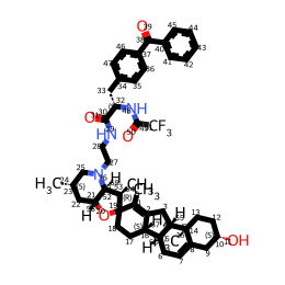 CC1=C2C[C@H]3[C@@H](CC=C4C[C@@H](O)CC[C@@]43C)[C@@H]2CCC12O[C@@H]1C[C@H](C)CN(CCNC(=O)[C@H](Cc3ccc(C(=O)c4ccccc4)cc3)NC(=O)C(F)(F)F)[C@H]1[C@H]2C